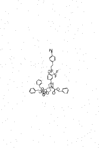 N#Cc1ccc(CCCOc2ccc(CCC(CO)(COP(=O)(OCc3ccccc3)OCc3ccccc3)NC(=O)OCc3ccccc3)cc2C(F)(F)F)cc1